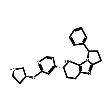 c1ccc(C2CCc3nc4c(n32)N[C@@H](c2ccnc(O[C@H]3CCNC3)c2)CC4)cc1